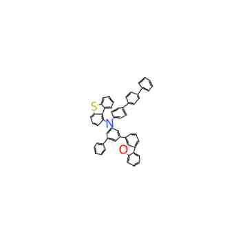 c1ccc(-c2ccc(-c3ccc(N(c4cc(-c5ccccc5)cc(-c5cccc6c5oc5ccccc56)c4)c4cccc5sc6ccccc6c45)cc3)cc2)cc1